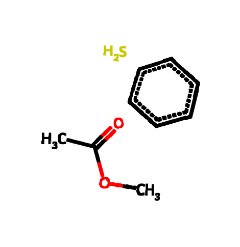 COC(C)=O.S.c1ccccc1